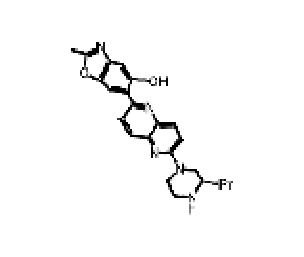 Cc1nc2cc(O)c(-c3ccc4nc(N5CCN[C@H](C(C)C)C5)ccc4n3)cc2o1